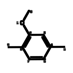 COc1cc(C)[c]cc1C